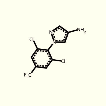 Nc1cnn(-c2c(Cl)cc(C(F)(F)F)cc2Cl)c1